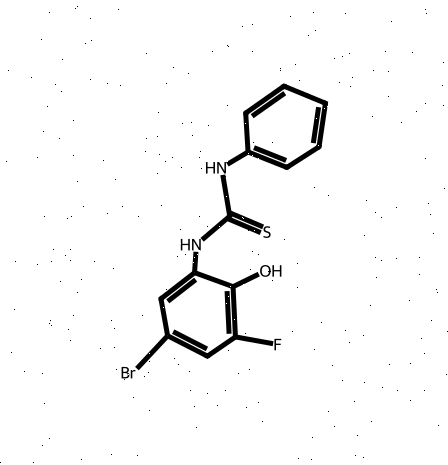 Oc1c(F)cc(Br)cc1NC(=S)Nc1ccccc1